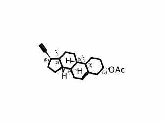 C#C[C@@H]1CC[C@H]2[C@@H]3CC=C4C[C@@H](OC(C)=O)CC[C@]4(C)[C@H]3CC[C@]12C